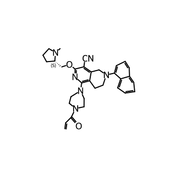 C=CC(=O)N1CCN(c2nc(OC[C@@H]3CCCN3C)c(C#N)c3c2CCN(c2cccc4ccccc24)C3)CC1